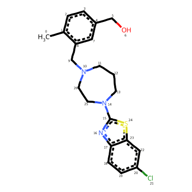 Cc1ccc(CO)cc1CN1CCCN(c2nc3ccc(Cl)cc3s2)CC1